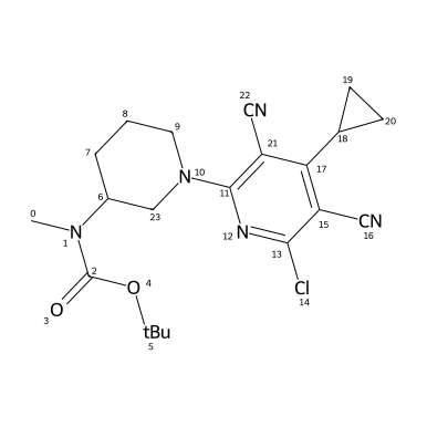 CN(C(=O)OC(C)(C)C)C1CCCN(c2nc(Cl)c(C#N)c(C3CC3)c2C#N)C1